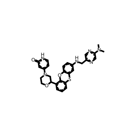 CN(C)c1cnc(CNc2ccc3c(c2)Sc2cccc(C4CN(c5cc[nH]c(=O)c5)CCO4)c2O3)cn1